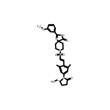 Cc1cc(N2C(=O)CC[C@@H]2CO)cc(C)c1C=CS(=O)(=O)N1CCC2(CC1)N=C(c1cccc(OC(F)(F)F)c1)NC2=O